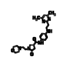 Cc1cc(C)nc(CCNc2ccc(NC(=O)C3CC(=O)N(CCN4CCOCC4)C3)cc2)n1